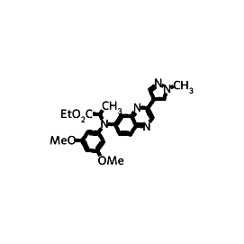 CCOC(=O)C(C)N(c1cc(OC)cc(OC)c1)c1ccc2ncc(C3C=NN(C)C3)nc2c1